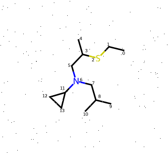 CCSC(C)CN(CC(C)C)C1CC1